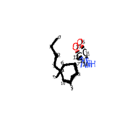 CCCCC1(C)CCCCC1.N=C=O.N=C=O